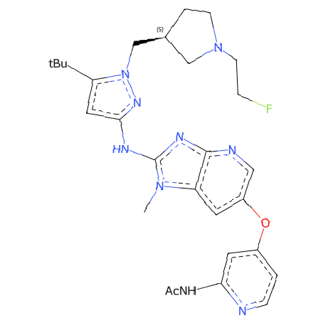 CC(=O)Nc1cc(Oc2cnc3nc(Nc4cc(C(C)(C)C)n(C[C@H]5CCN(CCF)C5)n4)n(C)c3c2)ccn1